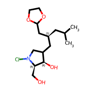 CC(C)C[C@H](CC1OCCO1)CC1CN(Cl)[C@H](CO)[C@@H]1O